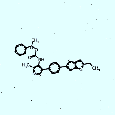 CCc1cc2sc(-c3ccc(-c4snc(C)c4NC(=O)O[C@H](C)c4ccccc4)cc3)cc2s1